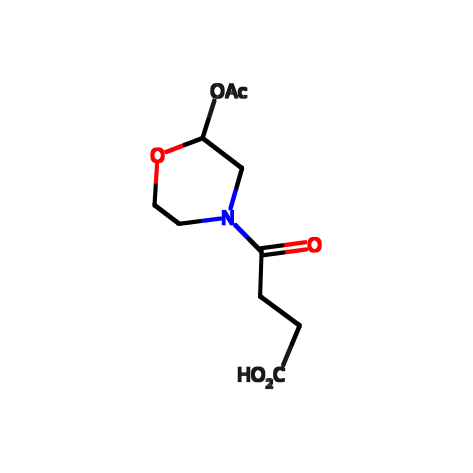 CC(=O)OC1CN(C(=O)CCC(=O)O)CCO1